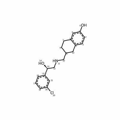 Oc1ccc2c(c1)CCC(CNC[C@H](O)c1cccc(Cl)c1)C2